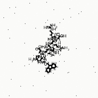 CSCC[C@H](NC(=O)[C@H](CCC(=O)O)NC(=O)[C@H](CC(N)=O)NC(=O)OCC1c2ccccc2-c2ccccc21)C(=O)N[C@@H](CCC(N)=O)C(=O)N[C@@H](CCCNC(=N)N)C(=O)N[C@@H](CCCNC(=N)N)C(=O)N[C@@H](C)C(=O)O